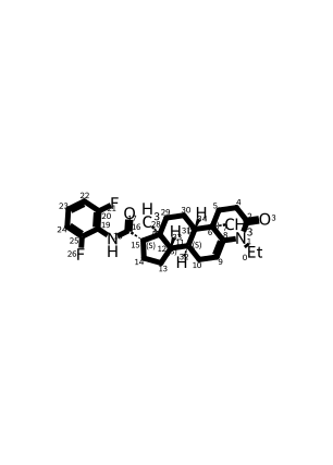 CCN1C(=O)CC[C@@]2(C)C1=CC[C@H]1[C@@H]3CC[C@H](C(=O)Nc4c(F)cccc4F)[C@@]3(C)CC[C@@H]12